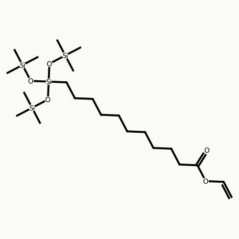 C=COC(=O)CCCCCCCCCC[Si](O[Si](C)(C)C)(O[Si](C)(C)C)O[Si](C)(C)C